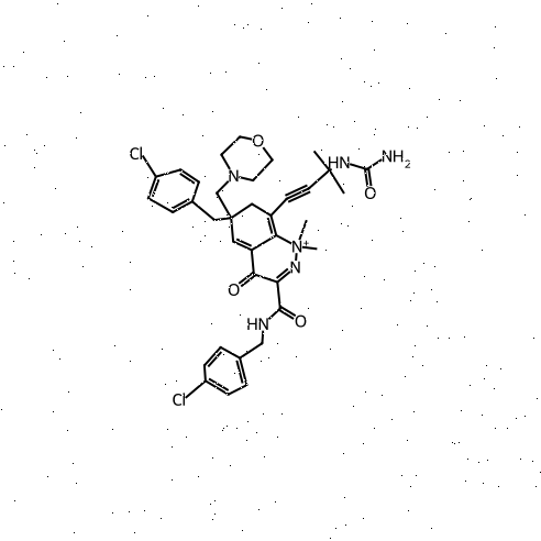 CC(C)(C#CC1=C2C(=CC(Cc3ccc(Cl)cc3)(CN3CCOCC3)C1)C(=O)C(C(=O)NCc1ccc(Cl)cc1)=N[N+]2(C)C)NC(N)=O